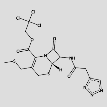 CSCC1=C(C(=O)OCC(Cl)(Cl)Cl)N2C(=O)C(NC(=O)Cn3cnnn3)[C@@H]2SC1